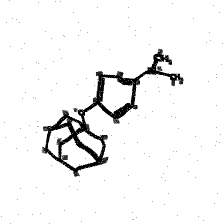 CN(C)c1ccc(OC23CC4CC(CC(C4)C2)C3)cc1